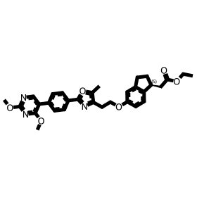 CCOC(=O)C[C@@H]1CCc2cc(OCCc3nc(-c4ccc(-c5cnc(OC)nc5OC)cc4)oc3C)ccc21